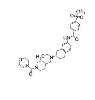 CCN(CC1CCN(C(=O)N2CCOCC2)CC1)C1CCc2ccc(NC(=O)c3ccc(S(C)(=O)=O)cc3)cc2C1